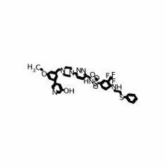 CCOc1cc(CN2CCN(c3ccc(C(=O)NS(=O)(=O)c4ccc(NCCSc5ccccc5)c(C(F)(F)F)c4)nn3)CC2)cc(-c2cncc(O)c2)c1